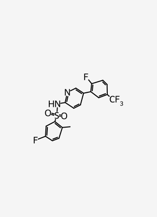 Cc1ccc(F)cc1S(=O)(=O)Nc1ccc(-c2cc(C(F)(F)F)ccc2F)cn1